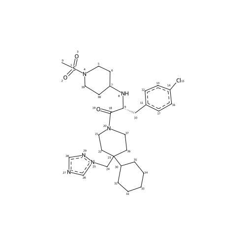 CS(=O)(=O)N1CCC(N[C@H](Cc2ccc(Cl)cc2)C(=O)N2CCC(Cn3cncn3)(C3CCCCC3)CC2)CC1